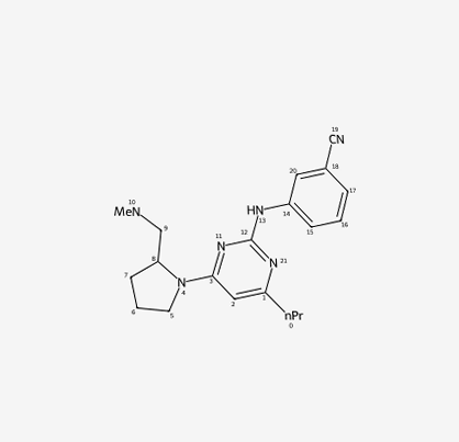 CCCc1cc(N2CCCC2CNC)nc(Nc2cccc(C#N)c2)n1